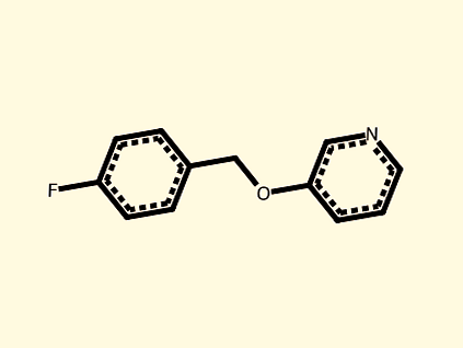 Fc1ccc(COc2cccnc2)cc1